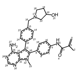 C=C(C)C(=O)Nc1ccc(-c2c(-c3ccc(CN4CCC(O)C4)cc3)c3c(N)ncnc3n2C)cc1